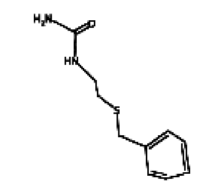 NC(=O)NCCSCc1ccccc1